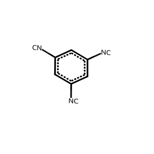 [C-]#[N+]c1cc([N+]#[C-])cc([N+]#[C-])c1